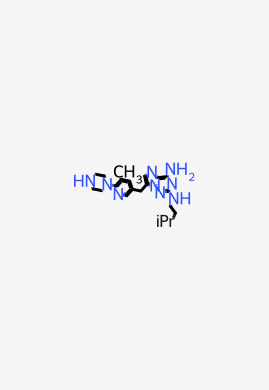 Cc1cc(Cc2cnc3c(N)nc(NCCC(C)C)nn23)cnc1N1CCNCC1